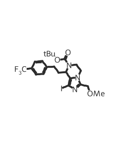 COCc1nc(I)c2n1CCN(C(=O)OC(C)(C)C)C2CCc1ccc(C(F)(F)F)cc1